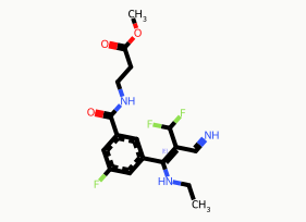 CCN/C(=C(\C=N)C(F)F)c1cc(F)cc(C(=O)NCCC(=O)OC)c1